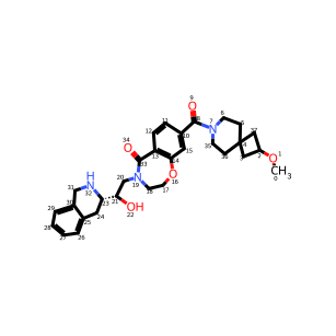 COC1CC2(CCN(C(=O)c3ccc4c(c3)OCCN(CC(O)[C@@H]3Cc5ccccc5CN3)C4=O)CC2)C1